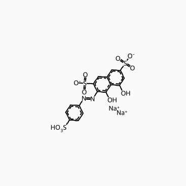 O=S(=O)([O-])c1cc(O)c2c(O)c(/N=N/c3ccc(S(=O)(=O)O)cc3)c(S(=O)(=O)[O-])cc2c1.[Na+].[Na+]